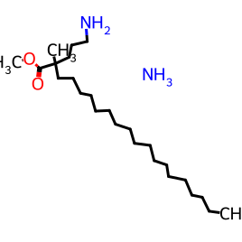 CCCCCCCCCCCCCCCCCCC(C)(CCCN)C(=O)OC.N